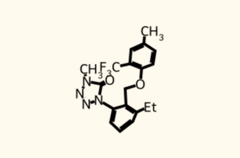 CCc1cccc(-n2nnn(C)c2=O)c1COc1ccc(C)cc1C(F)(F)F